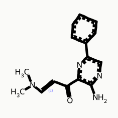 CN(C)/C=C/C(=O)c1nc(-c2ccccc2)cnc1N